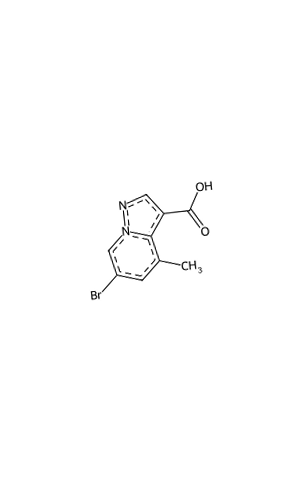 Cc1cc(Br)cn2ncc(C(=O)O)c12